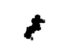 C=C(C)[C@@H]1CC[C@]2(CO[Si](c3ccccc3)(c3ccccc3)C(C)(C)C)CC[C@]3(C)C(CC[C@@H]4[C@@]5(C)CC=C(OS(=O)(=O)C(F)(F)F)C(C)(C)[C@@H]5CC[C@]43C)[C@@H]12